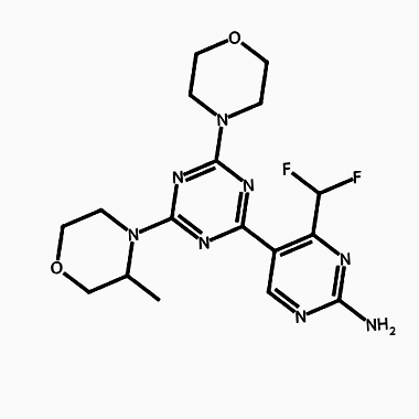 CC1COCCN1c1nc(-c2cnc(N)nc2C(F)F)nc(N2CCOCC2)n1